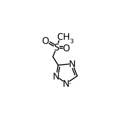 CS(=O)(=O)CC1=N[N]C=N1